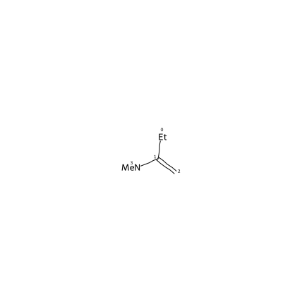 [CH2]CC(=C)NC